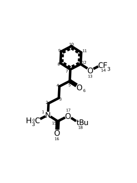 CN(CCCC(=O)c1ccccc1OC(F)(F)F)C(=O)OC(C)(C)C